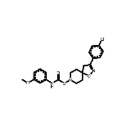 COc1cccc(NC(=O)ON2CCC3(CC2)CC(c2ccc(Cl)cc2)=NO3)c1